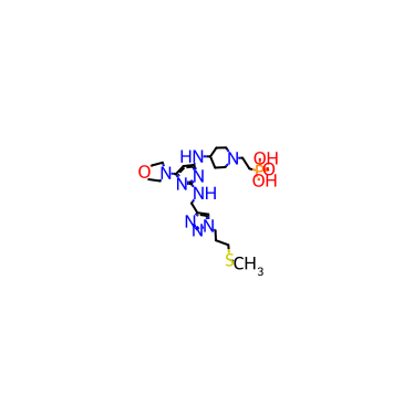 CSCCCn1cc(CNc2nc(NC3CCN(CCP(=O)(O)O)CC3)cc(N3CCOCC3)n2)nn1